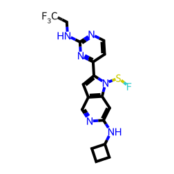 FSn1c(-c2ccnc(NCC(F)(F)F)n2)cc2cnc(NC3CCC3)cc21